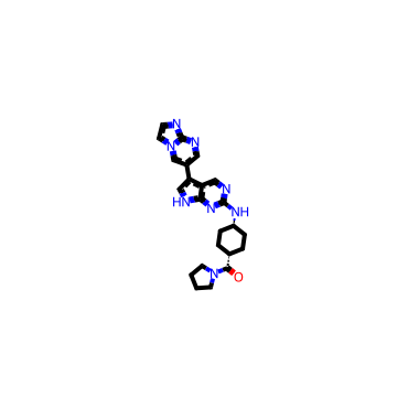 O=C([C@H]1CC[C@@H](Nc2ncc3c(-c4cnc5nccn5c4)c[nH]c3n2)CC1)N1CCCC1